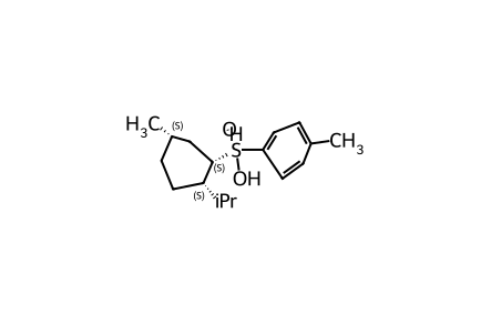 Cc1ccc([SH](=O)(O)[C@H]2C[C@@H](C)CC[C@H]2C(C)C)cc1